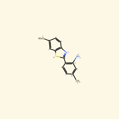 COc1ccc2nc(-c3ccc(C)cc3N)sc2c1